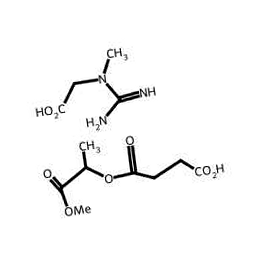 CN(CC(=O)O)C(=N)N.COC(=O)C(C)OC(=O)CCC(=O)O